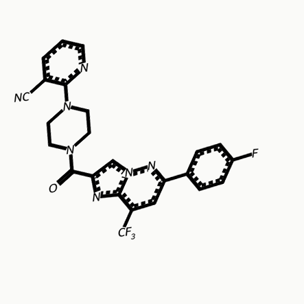 N#Cc1cccnc1N1CCN(C(=O)c2cn3nc(-c4ccc(F)cc4)cc(C(F)(F)F)c3n2)CC1